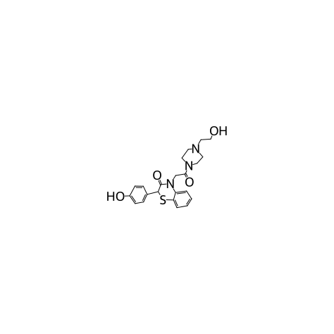 O=C(CN1C(=O)C(c2ccc(O)cc2)Sc2ccccc21)N1CCN(CCO)CC1